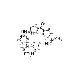 CN(C)C1CCN(C(=O)c2ccc(Nc3ncc4cc(C(=O)O)n(C5CCCC5)c4n3)nc2)CC1